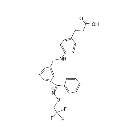 O=C(O)CCc1ccc(NCc2cccc(/C(=N/OCC(F)(F)F)c3ccccc3)c2)cc1